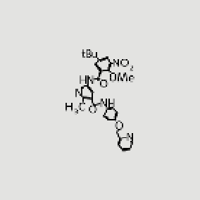 COc1c(C(=O)Nc2cnc(C)c(C(=O)Nc3ccc(OCc4ccccn4)cc3)c2)cc(C(C)(C)C)cc1[N+](=O)[O-]